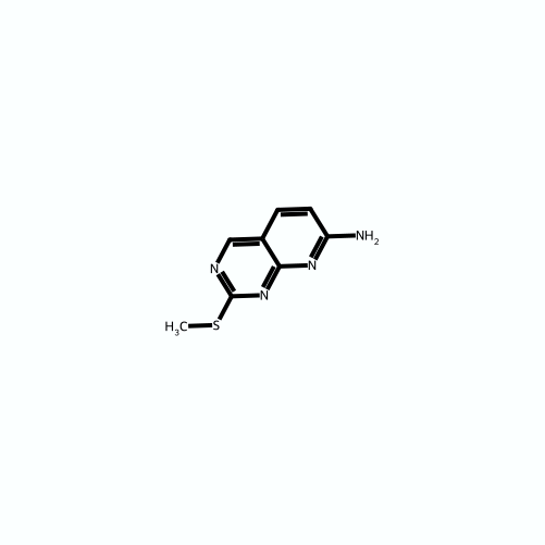 CSc1ncc2ccc(N)nc2n1